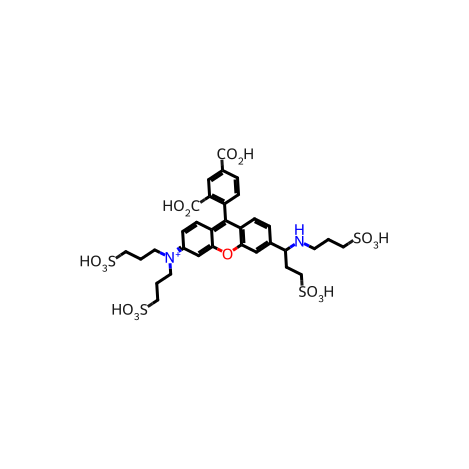 O=C(O)c1ccc(-c2c3ccc(=[N+](CCCS(=O)(=O)O)CCCS(=O)(=O)O)cc-3oc3cc(C(CCS(=O)(=O)O)NCCCS(=O)(=O)O)ccc23)c(C(=O)O)c1